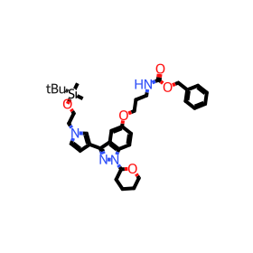 CC(C)(C)[Si](C)(C)OCCn1ccc(-c2nn(C3CCCCO3)c3ccc(OCCCNC(=O)OCc4ccccc4)cc23)c1